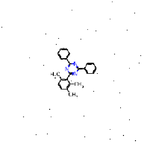 Cc1ccc(C)c(-c2nc(-c3ccccc3)nc(-c3ccccc3)n2)c1C